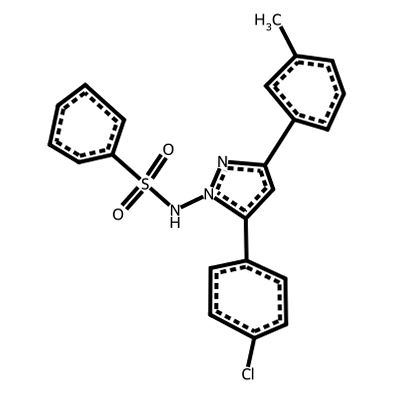 Cc1cccc(-c2cc(-c3ccc(Cl)cc3)n(NS(=O)(=O)c3ccccc3)n2)c1